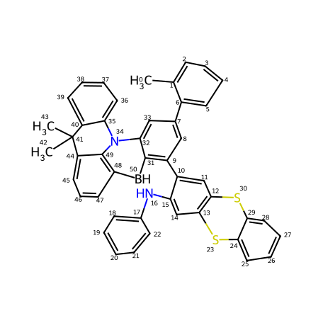 Cc1ccccc1-c1cc(-c2cc3c(cc2Nc2ccccc2)Sc2ccccc2S3)c2c(c1)N1c3ccccc3C(C)(C)c3cccc(c31)B2